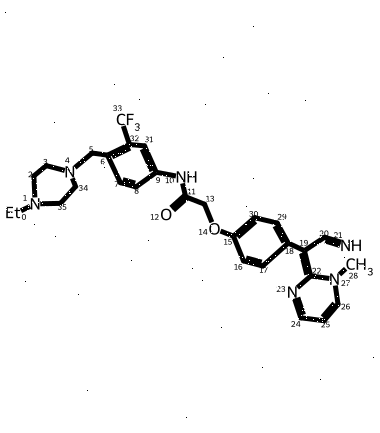 CCN1CCN(Cc2ccc(NC(=O)COc3ccc(/C(C=N)=C4\N=CC=CN4C)cc3)cc2C(F)(F)F)CC1